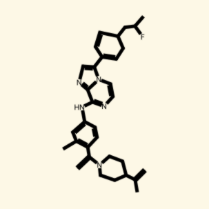 C=C(C)C1CCN(C(=C)c2ccc(Nc3nccn4c(C5=CCC(CC(C)F)C=C5)cnc34)cc2C)CC1